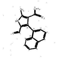 CC(=O)c1c(C)[nH]c(C=O)c1-c1cccc2ccccc12